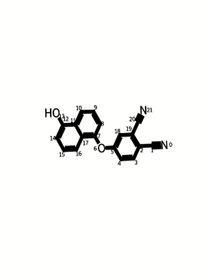 N#Cc1ccc(Oc2cccc3c(O)cccc23)cc1C#N